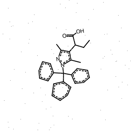 CCC(C(=O)O)c1c(C)nn(C(c2ccccc2)(c2ccccc2)c2ccccc2)c1C